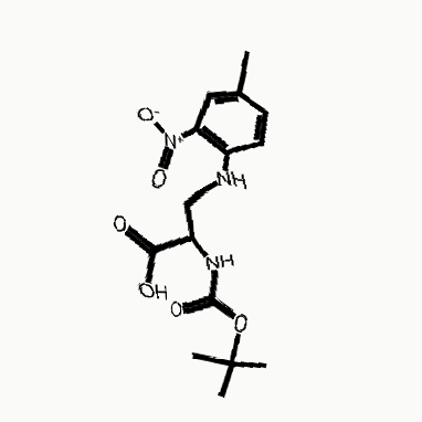 Cc1ccc(NCC(NC(=O)OC(C)(C)C)C(=O)O)c([N+](=O)[O-])c1